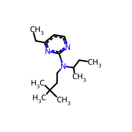 CCc1ccnc(N(CCC(C)(C)C)C(C)CC)n1